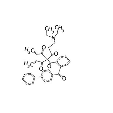 C=CC(=O)C(C(=O)C=C)(C(=O)CCN(CC)CC)C(=O)c1ccccc1C(=O)c1ccc(-c2ccccc2)cc1